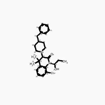 CCC(O)N1C(=O)C(N2CCC(Cc3ccccc3)CC2)C(C)(C)c2cccc(Cl)c21